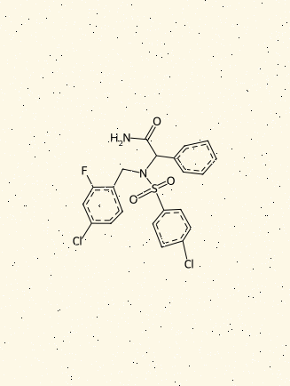 NC(=O)C(c1ccccc1)N(Cc1ccc(Cl)cc1F)S(=O)(=O)c1ccc(Cl)cc1